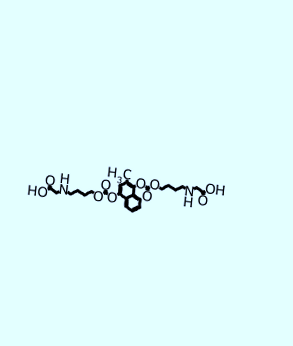 Cc1cc(OC(=O)OCCCCNCC(=O)O)c2ccccc2c1OC(=O)OCCCCNCC(=O)O